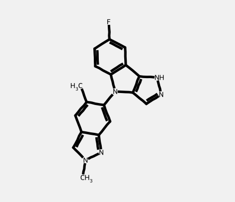 Cc1cc2cn(C)nc2cc1-n1c2ccc(F)cc2c2[nH]ncc21